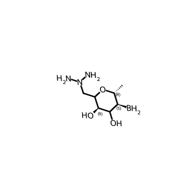 B[C@H]1C(O)[C@@H](O)C(CN(N)N)O[C@@H]1C